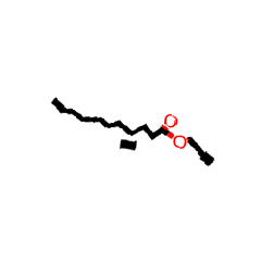 C#C.C#CCOC(=O)CCCCCCCCC=C